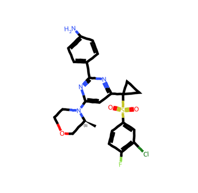 C[C@H]1COCCN1c1cc(C2(S(=O)(=O)c3ccc(F)c(Cl)c3)CC2)nc(-c2ccc(N)cc2)n1